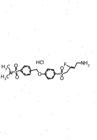 CN(C)S(=O)(=O)c1ccc(COc2ccc(S(=O)(=O)CC(F)=CCN)cc2)cc1.Cl